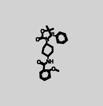 COc1ccccc1C(=O)N[C@H]1CC[C@H](N2C(=O)OC(C)(C)[C@@H]2c2ccccc2)CC1